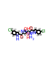 NC(CC(O)(CO)CC(N)C(=O)c1cc2cc(Cl)ccc2[nH]1)C(=O)c1cc2cc(Cl)ccc2[nH]1